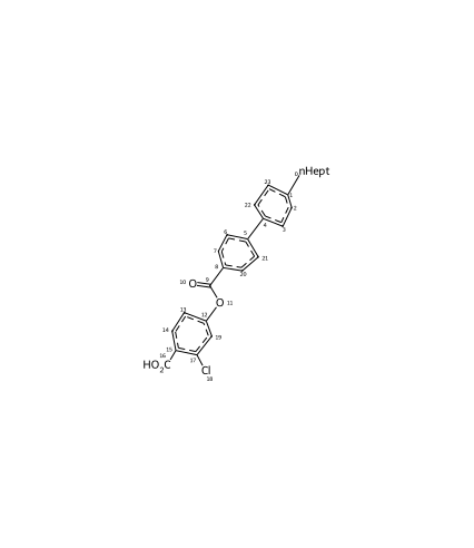 CCCCCCCc1ccc(-c2ccc(C(=O)Oc3ccc(C(=O)O)c(Cl)c3)cc2)cc1